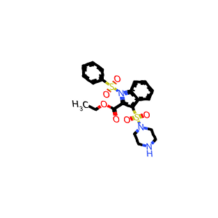 CCOC(=O)c1c(S(=O)(=O)N2CCNCC2)c2ccccc2n1S(=O)(=O)c1ccccc1